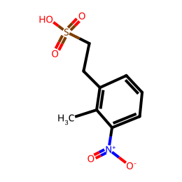 Cc1c(CCS(=O)(=O)O)cccc1[N+](=O)[O-]